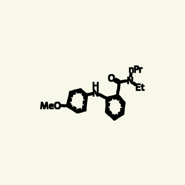 CCCN(CC)C(=O)c1ccccc1Nc1ccc(OC)cc1